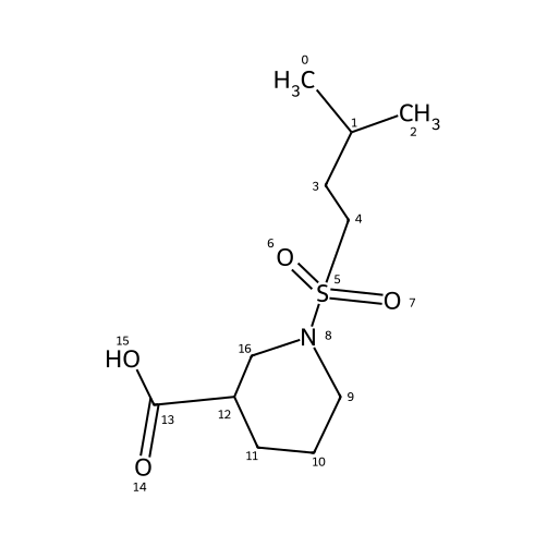 CC(C)CCS(=O)(=O)N1CCCC(C(=O)O)C1